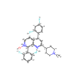 CN1CCC(c2cc(-c3ccc(F)cc3F)c3cc[n+]([O-])c(-c4c(F)cccc4F)c3n2)CC1